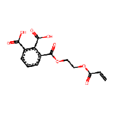 C=CC(=O)OCCOC(=O)c1cccc(C(=O)O)c1C(=O)O